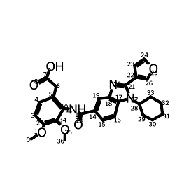 COc1ccc(CC(=O)O)c(NC(=O)c2ccc3c(c2)nc(-c2ccoc2)n3C2CCCCC2)c1OC